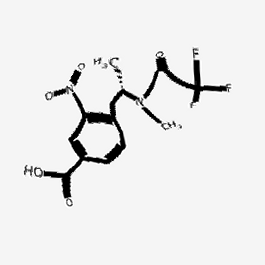 C[C@@H](c1ccc(C(=O)O)cc1[N+](=O)[O-])N(C)C(=O)C(F)(F)F